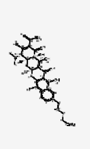 COCCNCc1ccc2c(F)c3c(c(O)c2c1)C(=O)C1=C(O)[C@]2(O)C(=O)C(C(N)=O)=C(O)[C@@H](N(C)C)[C@@H]2C[C@@H]1C3